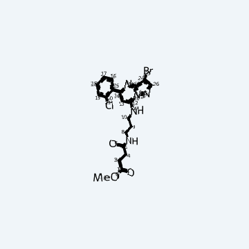 COC(=O)CCC(=O)NCCCNc1cc(-c2ccccc2Cl)nc2c(Br)cnn12